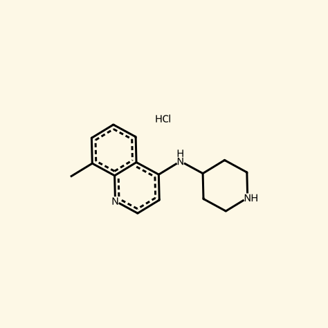 Cc1cccc2c(NC3CCNCC3)ccnc12.Cl